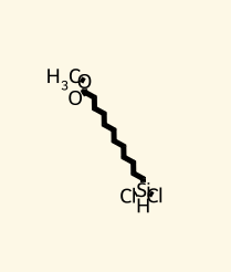 COC(=O)CCCCCCCCCCC[SiH](Cl)Cl